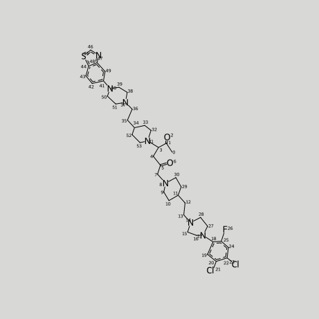 CC(=O)C(CC(=O)CN1CCC(CCN2CCN(c3cc(Cl)c(Cl)cc3F)CC2)CC1)N1CCC(CCN2CCN(c3ccc4scnc4c3)CC2)CC1